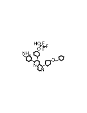 NCc1ccc(-c2nc3ccnc(-c4ccc(OCc5ccccc5)cc4)c3cc2-c2ccccc2)cc1.O=C(O)C(F)(F)F